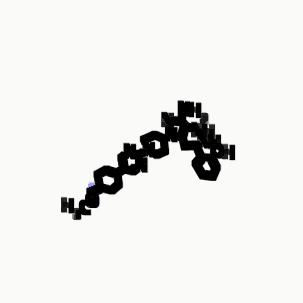 CO/C=C1/CC=C(c2cnc(N3CCC(n4nc(N)c5c4C=C(c4ccccc4O)NN5)CC3)nc2)CC1